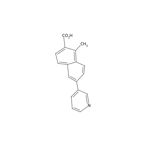 Cc1c(C(=O)O)ccc2cc(-c3cccnc3)ccc12